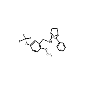 COc1ccc(OC(F)(F)F)cc1CNC1C2CCN(C2)C1c1ccccc1